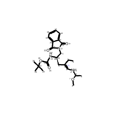 CC/C(=C\NC(C)OC)C[C@H](CN1C(=O)c2ccccc2C1=O)NC(=O)OC(C)(C)C